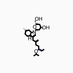 C=C(CC/C(=C\C)OC(C)C)CC1=CN([C@H]2C[C@@H](O)C[C@@H](CO)O2)C2C[C@@H](C)CC[C@@H]12